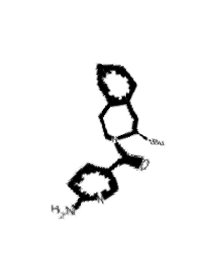 CC(C)(C)[C@@H]1Cc2ccccc2CCN1C(=O)c1ccc(N)nc1